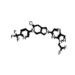 O=C1CC2CN(c3cnc4cnn(CC(F)F)c4n3)CC2CN1c1ccc(C(F)(F)F)nc1